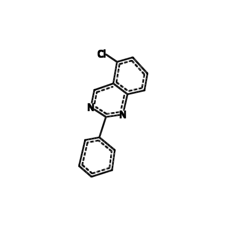 Clc1cccc2nc(-c3ccccc3)ncc12